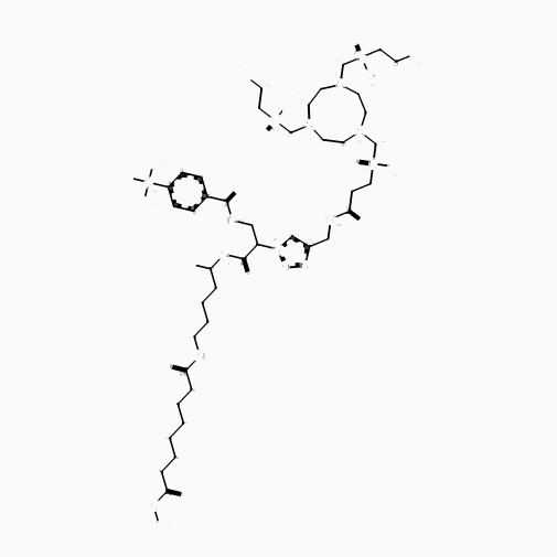 CCCCNC(=O)CCCCCCC(=O)NCCCCC(NC(=O)C(CNC(=O)c1ccc(S(F)(C(C)(C)C)C(C)(C)C)cc1)n1cc(CNC(=O)CCP(=O)(O)CN2CCN(CP(=O)(O)CCC(=O)O)CCN(CP(=O)(O)CCC(=O)O)CC2)nn1)C(=O)O